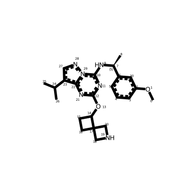 COc1cccc([C@H](C)Nc2nc(OC3CCC34CNC4)nc3c(C(C)C)cnn23)c1